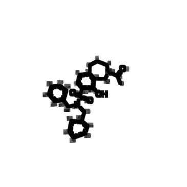 CC(=O)N1CCCc2ccc(S(=O)(=O)N(Cc3ccccc3)Cc3ccccc3)c(O)c2C1